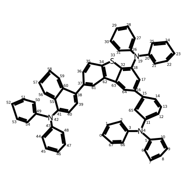 c1ccc(N(c2ccccc2)c2cccc(-c3cc(N(c4ccccc4)c4ccccc4)c4sc5ccc(-c6ccc(N(c7ccccc7)c7ccccc7)c7ccccc67)cc5c4c3)c2)cc1